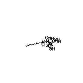 CCCCCCCCCCCCCCCC(=O)OCC1CC(O)C(O)C(Oc2c(-c3ccc(O)c(O)c3)oc3cc(O)cc(O)c3c2=O)O1